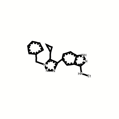 CCNc1n[nH]c2ccc(-c3nnn(Cc4ccccc4)c3C3CC3)cc12